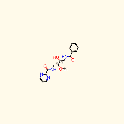 CCO[C@H](CNC(=O)c1ncccn1)[C@@H](O)CNC(=O)c1ccccc1